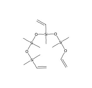 C=CO[Si](C)(C)O[Si](C)(C=C)O[Si](C)(C)O[Si](C)(C)C=C